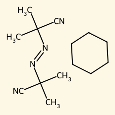 C1CCCCC1.CC(C)(C#N)N=NC(C)(C)C#N